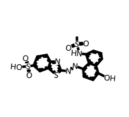 CS(=O)(=O)Nc1cccc2c(O)ccc(N=Nc3nc4ccc(S(=O)(=O)O)cc4s3)c12